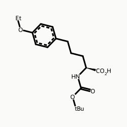 CCOc1ccc(CCC[C@H](NC(=O)OC(C)(C)C)C(=O)O)cc1